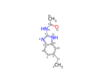 CCc1ccc2nc(NC(C)=O)[nH]c2c1